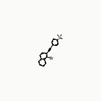 C[Si](C)(C)c1ccc(C#Cc2ccc3ccccc3c2Br)cc1